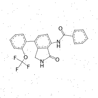 O=C(Nc1ccc(-c2ccccc2OC(F)(F)F)c2c1C(=O)NC2)c1ccccc1